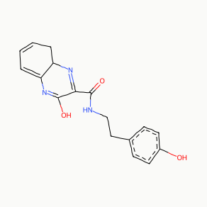 O=C(NCCc1ccc(O)cc1)C1=NC2CC=CC=C2N=C1O